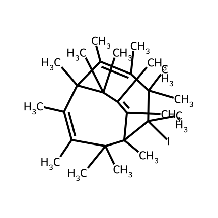 C/C1=C(\C)C2(C)C(C)(C)/C(C)=C(/C)C(C)(/C(C)=C(/C)C(C)(C)C2(C)I)C1(C)C